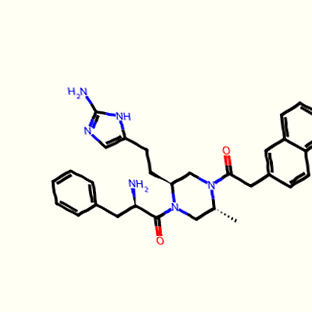 C[C@@H]1CN(C(=O)[C@H](N)Cc2ccccc2)[C@@H](CCc2cnc(N)[nH]2)CN1C(=O)Cc1ccc2ccccc2c1